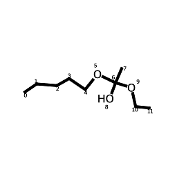 CCCCCOC(C)(O)OCC